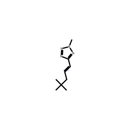 Cn1nnc(/C=C/CC(C)(C)C)n1